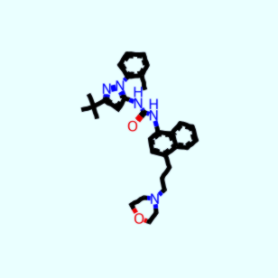 Cc1ccccc1-n1nc(C(C)(C)C)cc1NC(=O)Nc1ccc(CCCN2CCOCC2)c2ccccc12